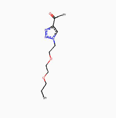 CC(C)CCOCCOCCn1cc(C(=O)C(C)C)nn1